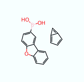 OB(O)c1ccc2oc3ccccc3c2c1.c1cc2cc-2c1